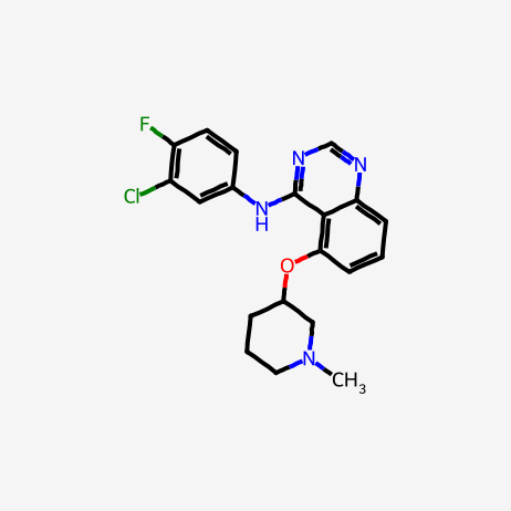 CN1CCCC(Oc2cccc3ncnc(Nc4ccc(F)c(Cl)c4)c23)C1